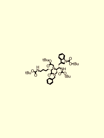 CC(C)(C)OC(=O)CN1[C@@H]([C@H](Cc2cn(C(=O)OC(C)(C)C)c3ccccc23)NC(=O)OC(C)(C)C)CN(Cc2ccccc2)C(=O)[C@@H]1CCCCNC(=O)OC(C)(C)C